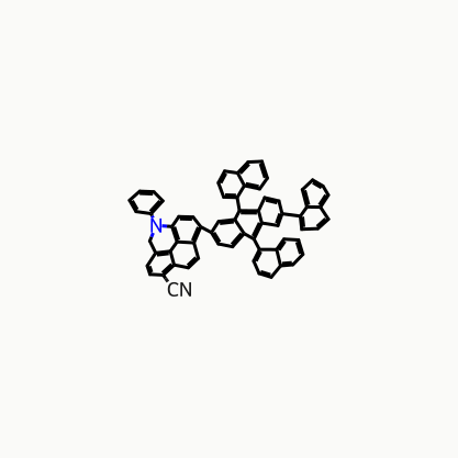 N#Cc1ccc2c3c1ccc1c(-c4ccc5c(-c6cccc7ccccc67)c6cc(-c7cccc8ccccc78)ccc6c(-c6cccc7ccccc67)c5c4)ccc(c13)N(c1ccccc1)C2